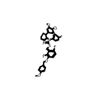 COc1ccc(COc2ccc(F)c(CSc3nc4c(n3-c3ccc(F)cc3)C(c3ccc(Cl)c(OC)c3)CCC4)c2F)cc1